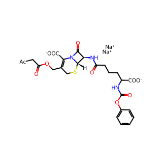 CC(=O)CC(=O)OCC1=C(C(=O)[O-])N2C(=O)[C@@H](NC(=O)CCCC(NC(=O)Oc3ccccc3)C(=O)[O-])[C@@H]2SC1.[Na+].[Na+]